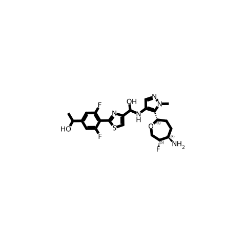 CC(O)c1cc(F)c(-c2nc(C(O)Nc3cnn(C)c3[C@@H]3CC[C@@H](N)[C@H](F)CO3)cs2)c(F)c1